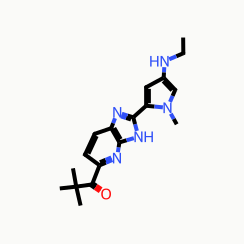 CCNc1cc(-c2nc3ccc(C(=O)C(C)(C)C)nc3[nH]2)n(C)c1